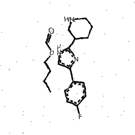 CCCCOC=O.Fc1ccc(-c2c[nH]c(C3CCCNC3)n2)cc1